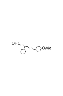 COC1CCC(CCCCC(CCC=O)C2CCCCC2)CC1